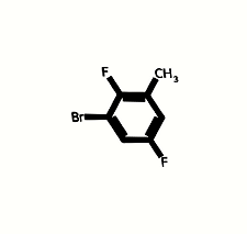 Cc1cc(F)cc(Br)c1F